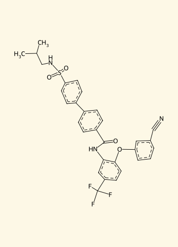 CC(C)CNS(=O)(=O)c1ccc(-c2ccc(C(=O)Nc3cc(C(F)(F)F)ccc3Oc3cccc(C#N)c3)cc2)cc1